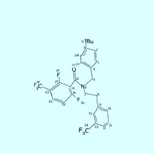 CC(C)(C)c1ccc(CN(CCc2cccc(C(F)(F)F)c2)C(=O)c2c(F)ccc(C(F)(F)F)c2F)cc1